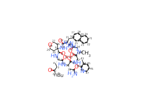 CCCCC(=O)CC[C@H](NC(=O)C1(NC(=O)[C@@H](N)Cc2ccc3ccccc3c2)CCOCC1)C(=O)N[C@@H](CC(N)=O)C(=O)N[C@@H](Cc1cccnc1)C(=O)N(C)CC(N)=O